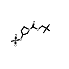 CC(C)(C)COC(=O)N1CCC(OS(C)(=O)=O)C1